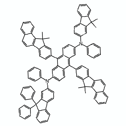 CC1(C)c2ccccc2-c2ccc(N(c3ccccc3)c3ccc4c(-c5ccc6c(c5)C(C)(C)c5c-6ccc6ccccc56)c5cc(N(c6ccccc6)c6ccc7c(c6)C(c6ccccc6)(c6ccccc6)c6ccccc6-7)ccc5c(-c5ccc6c(c5)C(C)(C)c5c-6ccc6ccccc56)c4c3)cc21